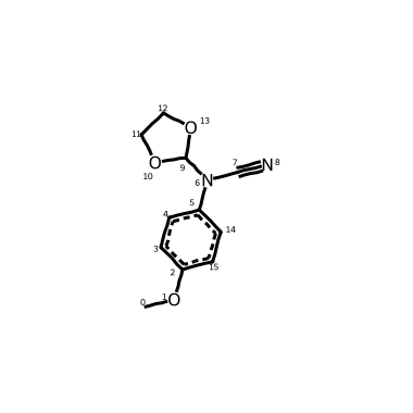 COc1ccc(N(C#N)C2OCCO2)cc1